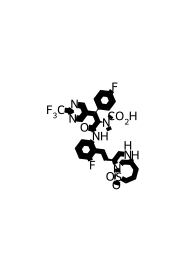 CN(C(=O)O)[C@H](C(=O)Nc1cccc(F)c1CC[C@H]1CN[C@@H]2CCCS(=O)(=O)N1C2)[C@@H](c1ccc(F)cc1)c1cnc(C(F)(F)F)nc1